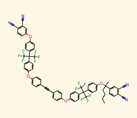 CCCCC(C)(Oc1ccc(C(c2ccc(Oc3ccc(C#Cc4ccc(Oc5ccc(C(c6ccc(Oc7ccc(C#N)c(C#N)c7)cc6)(C(F)(F)F)C(F)(F)F)cc5)cc4)cc3)cc2)(C(F)(F)F)C(F)(F)F)cc1)c1ccc(C#N)c(C#N)c1